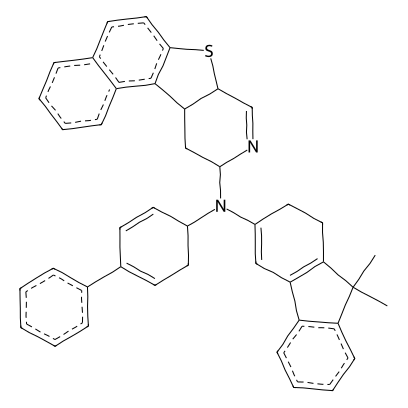 CC1(C)C2=C(C=C(N(C3C=CC(c4ccccc4)=CC3)C3CC4c5c(ccc6ccccc56)SC4C=N3)CC2)c2ccccc21